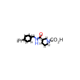 CC(C)c1ccc(CNC(=O)[C@@H]2CCCN(C(=O)O)C2)cc1